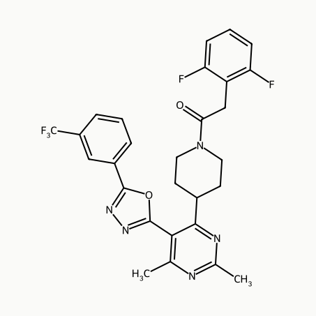 Cc1nc(C)c(-c2nnc(-c3cccc(C(F)(F)F)c3)o2)c(C2CCN(C(=O)Cc3c(F)cccc3F)CC2)n1